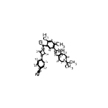 Cc1cc(C)c(-c2nc3c([nH]2)CCN(C(C)C)CC3)cc1C(=O)N1CC(c2ccc(C#N)cc2)C1